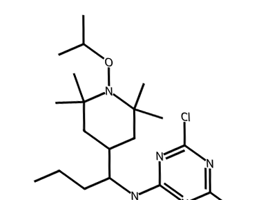 CCCC(Nc1nc(Cl)nc(Cl)n1)C1CC(C)(C)N(OC(C)C)C(C)(C)C1